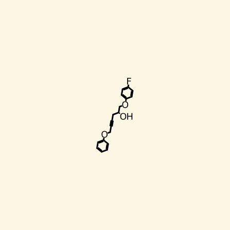 O[C@@H](CC#CCOc1ccccc1)COc1ccc(F)cc1